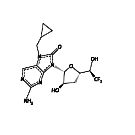 Nc1ncc2c(n1)n([C@@H]1O[C@H]([C@@H](O)C(F)(F)F)C[C@H]1O)c(=O)n2CC1CC1